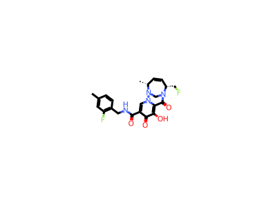 Cc1ccc(CNC(=O)c2cn3c(c(O)c2=O)C(=O)N2CN3[C@H](C)C=C[C@@H]2CF)c(F)c1